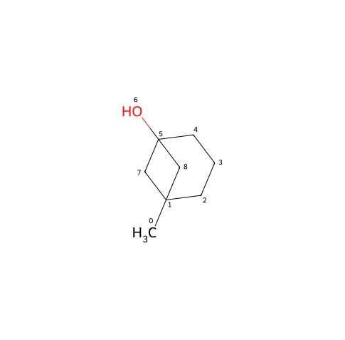 CC12CCCC(O)(C1)C2